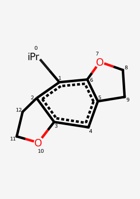 CC(C)c1c2c(cc3c1OCC3)OCC2